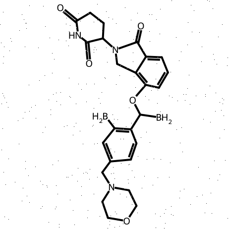 Bc1cc(CN2CCOCC2)ccc1C(B)Oc1cccc2c1CN(C1CCC(=O)NC1=O)C2=O